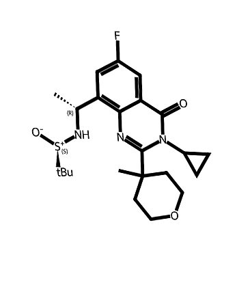 C[C@@H](N[S@+]([O-])C(C)(C)C)c1cc(F)cc2c(=O)n(C3CC3)c(C3(C)CCOCC3)nc12